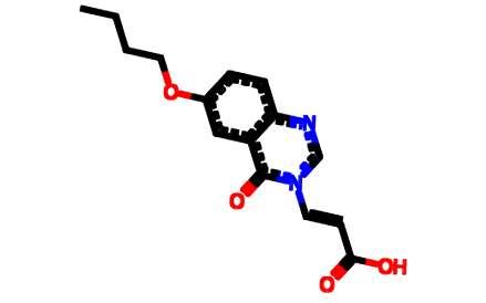 CCCCOc1ccc2ncn(/C=C/C(=O)O)c(=O)c2c1